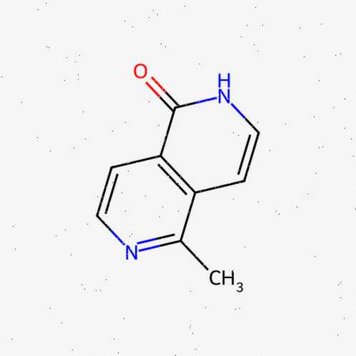 Cc1nccc2c(=O)[nH]ccc12